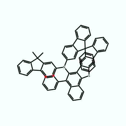 CC1(C)c2ccccc2-c2ccc(N(c3ccc4c(c3)C3(c5ccccc5-c5ccccc53)c3ccccc3-4)c3c(-c4ccccc4)c4ccccc4c4sc5ccccc5c34)cc21